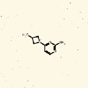 CC1CN(c2ccnc(N)n2)C1